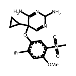 COc1cc(C(C)C)c(OC2(C3CC3)C=NC(N)N=C2N)cc1S(C)(=O)=O